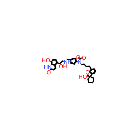 O=C(O)C1(c2cccc(CCCCn3c(=O)oc4cc(CNCC(O)c5ccc(O)c6[nH]c(=O)ccc56)ccc43)c2)CCCCC1